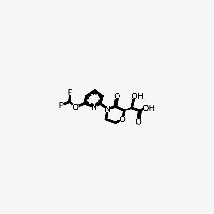 O=C(O)C(O)[C@H]1OCCN(c2cccc(OC(F)F)n2)C1=O